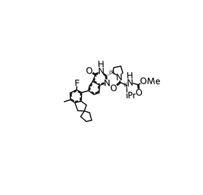 COC(=O)N[C@H](C(=O)N1CCC[C@H]1c1nc2ccc(-c3c(F)cc(C)c4c3CC3(CCCC3)C4)cc2c(=O)[nH]1)C(C)C